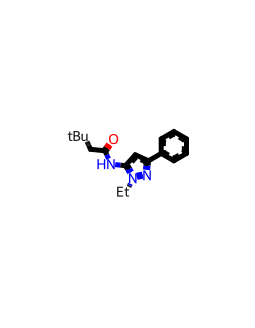 CCn1nc(-c2ccccc2)cc1NC(=O)CC(C)(C)C